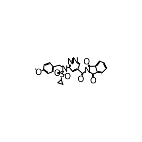 COc1ccc(CN(c2cc(C(=O)N3C(=O)c4ccccc4C3=O)cnn2)S(=O)(=O)C2CC2)cc1